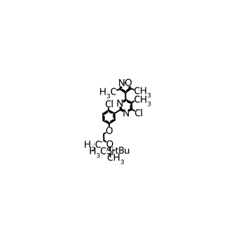 [CH2][C@H](COc1ccc(Cl)c(-c2nc(Cl)c(C)c(-c3c(C)noc3C)n2)c1)O[Si](C)(C)C(C)(C)C